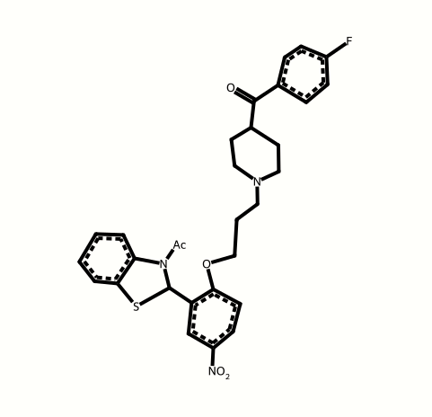 CC(=O)N1c2ccccc2SC1c1cc([N+](=O)[O-])ccc1OCCCN1CCC(C(=O)c2ccc(F)cc2)CC1